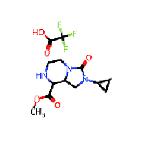 COC(=O)C1NCCN2C(=O)N(C3CC3)CC12.O=C(O)C(F)(F)F